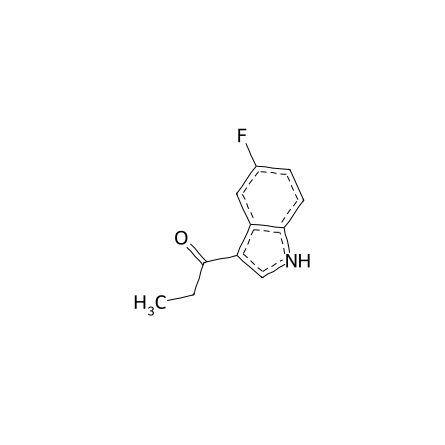 CCC(=O)c1c[nH]c2ccc(F)cc12